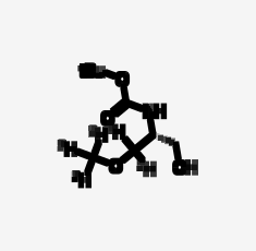 [2H]C([2H])([2H])OC([2H])([2H])[C@@H](CO)NC(=O)OC(C)(C)C